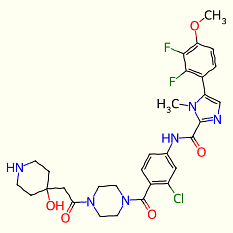 COc1ccc(-c2cnc(C(=O)Nc3ccc(C(=O)N4CCN(C(=O)CC5(O)CCNCC5)CC4)c(Cl)c3)n2C)c(F)c1F